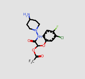 NC1CCN(NC(=O)C(OC(=O)C(F)(F)F)Oc2ccc(F)c(Cl)c2)CC1